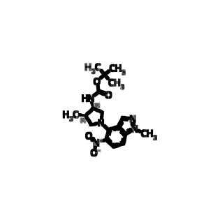 C[C@@H]1CN(c2c([N+](=O)[O-])ccc3c2cnn3C)C[C@@H]1NC(=O)OC(C)(C)C